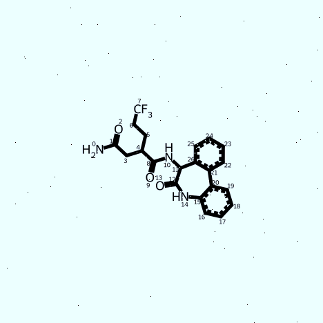 NC(=O)CC(CCC(F)(F)F)C(=O)NC1C(=O)Nc2ccccc2-c2ccccc21